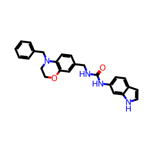 O=C(NCc1ccc2c(c1)OCCN2Cc1ccccc1)Nc1ccc2cc[nH]c2c1